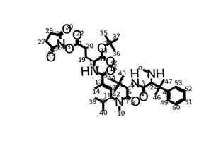 CN[C@H](C(=O)N[C@H](C(=O)N(C)[C@H](/C=C(\C)C(=O)N[C@@H](CCC(=O)ON1C(=O)CCC1=O)C(=O)OC(C)(C)C)C(C)C)C(C)(C)C)C(C)(C)c1ccccc1